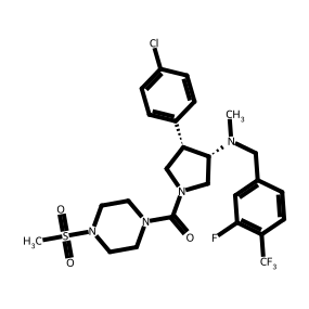 CN(Cc1ccc(C(F)(F)F)c(F)c1)[C@@H]1CN(C(=O)N2CCN(S(C)(=O)=O)CC2)C[C@@H]1c1ccc(Cl)cc1